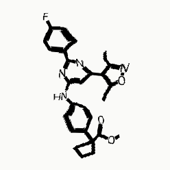 COC(=O)C1(c2ccc(Nc3cc(C4C(C)=NOC4C)nc(-c4ccc(F)cc4)n3)cc2)CCC1